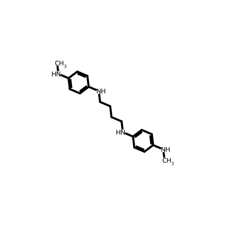 CNc1ccc(NCCCCNc2ccc(NC)cc2)cc1